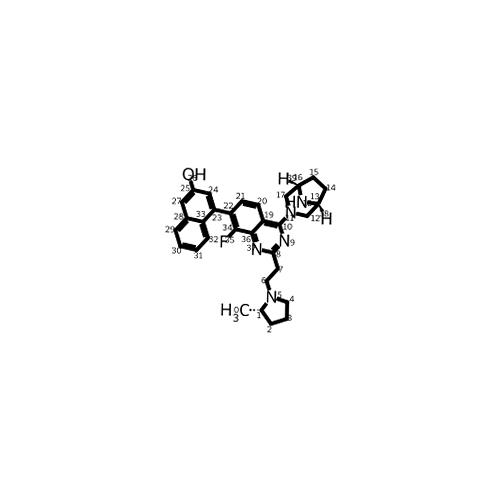 C[C@H]1CCCN1CCc1nc(N2C[C@H]3CC[C@@H](C2)N3)c2ccc(-c3cc(O)cc4ccccc34)c(F)c2n1